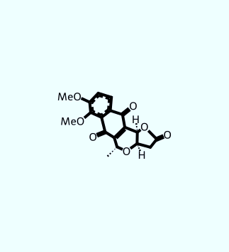 COc1ccc2c(c1OC)C(=O)C1=C(C2=O)[C@H]2OC(=O)C[C@H]2O[C@@H]1C